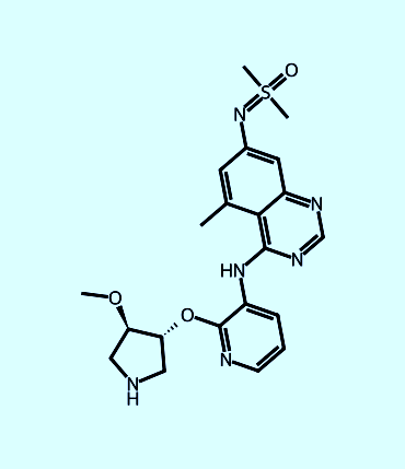 CO[C@@H]1CNC[C@H]1Oc1ncccc1Nc1ncnc2cc(N=S(C)(C)=O)cc(C)c12